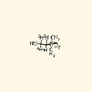 [2H]C([2H])(O)C([2H])([2H])[N+](C)(C)C[18F]